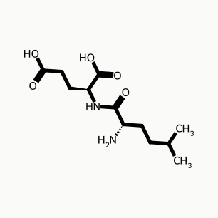 CC(C)CC[C@H](N)C(=O)N[C@@H](CCC(=O)O)C(=O)O